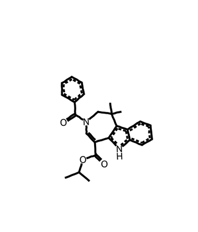 CC(C)OC(=O)C1=CN(C(=O)c2ccccc2)CC(C)(C)c2c1[nH]c1ccccc21